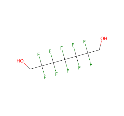 OCC(F)(F)C(F)(F)C(F)(F)C(F)(F)C(F)(F)CO